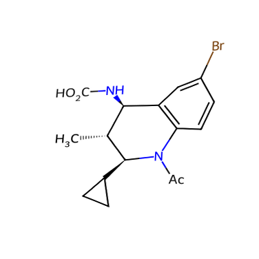 CC(=O)N1c2ccc(Br)cc2[C@H](NC(=O)O)[C@@H](C)[C@@H]1C1CC1